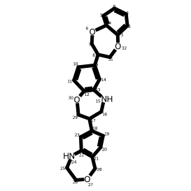 c1ccc2c(c1)OCC(c1ccc3c(c1)NCC(c1ccc4c(c1)NCCOC4)CO3)CO2